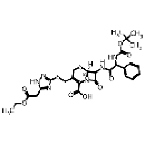 CCOC(=O)Cc1nc(SCC2=C(C(=O)O)N3C(=O)C(NC(=O)C(NC(=O)OC(C)(C)C)c4ccccc4)[C@@H]3SC2)n[nH]1